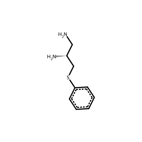 NC[C@@H](N)CSc1ccccc1